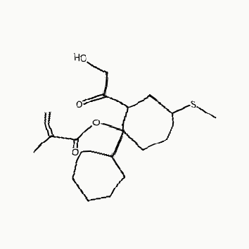 C=C(C)C(=O)OC1(C2CCCCC2)CCC(SC)CC1C(=O)CO